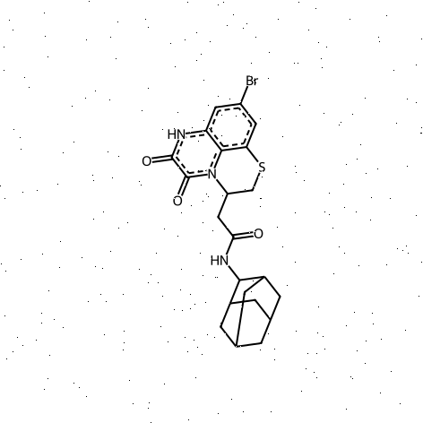 O=C(CC1CSc2cc(Br)cc3[nH]c(=O)c(=O)n1c23)NC1C2CC3CC(C2)CC1C3